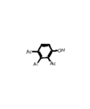 CC(=O)c1ccc(O)c(C(C)=O)c1C(C)=O